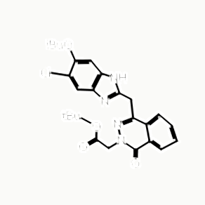 CC(C)COc1cc2[nH]c(Cc3nn(CC(=O)OC(C)(C)C)c(=O)c4ccccc34)nc2cc1Cl